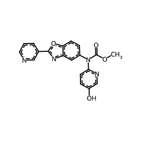 COC(=O)N(c1ccc2oc(-c3cccnc3)nc2c1)c1ccc(O)cn1